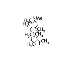 CN[C@H]1CC[C@@]2(C)C(CC[C@]3(C)C2CCC2C4[C@H](C)CC[C@]4(C)CC[C@]23C)C1(C)C